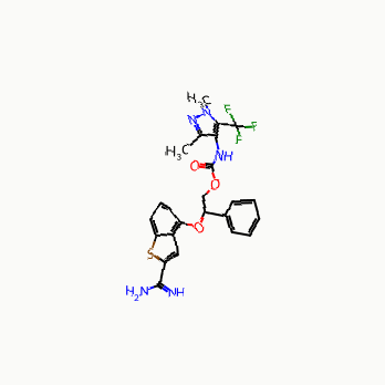 Cc1nn(C)c(C(F)(F)F)c1NC(=O)OCC(Oc1cccc2sc(C(=N)N)cc12)c1ccccc1